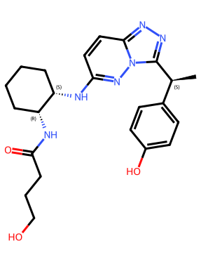 C[C@@H](c1ccc(O)cc1)c1nnc2ccc(N[C@H]3CCCC[C@H]3NC(=O)CCCO)nn12